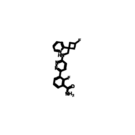 NC(=O)c1cccc(-c2ccc(NCC3(c4ccccn4)CC(F)C3)nn2)c1F